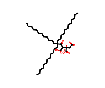 CCCCCCCCCCCCC(CCCCCCCCCCCC)(CCCCCCCCCCCC)C(=O)C(C(=O)O)C(O)(CC(=O)O)C(=O)O